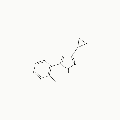 Cc1[c]cccc1-c1cc(C2CC2)n[nH]1